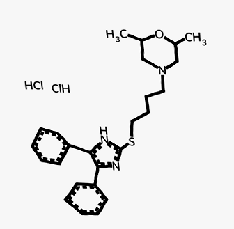 CC1CN(CCCCSc2nc(-c3ccccc3)c(-c3ccccc3)[nH]2)CC(C)O1.Cl.Cl